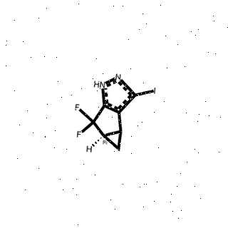 FC1(F)c2[nH]nc(I)c2C2C[C@H]21